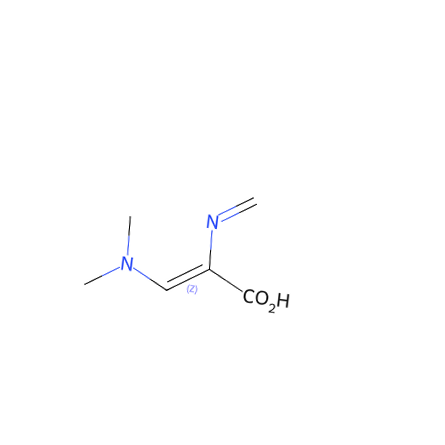 C=N/C(=C\N(C)C)C(=O)O